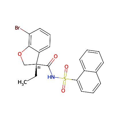 CC[C@@]1(C(=O)NS(=O)(=O)c2cccc3ccccc23)COc2c(Br)cccc21